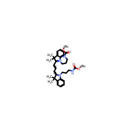 CC(C)(C)OC(=O)NCCCN1/C(=C\C=C\C2=[N+](CCCNC(=O)OC(C)(C)C)c3ccccc3C2(C)C)C(C)(C)c2ccccc21